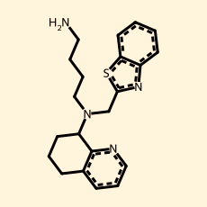 NCCCCN(Cc1nc2ccccc2s1)C1CCCc2cccnc21